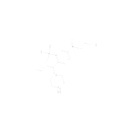 CCOC(=O)c1ccc(C(CCF)N2CCNCC2)c(C(F)(F)F)c1